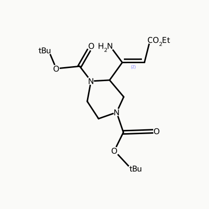 CCOC(=O)/C=C(\N)C1CN(C(=O)OC(C)(C)C)CCN1C(=O)OC(C)(C)C